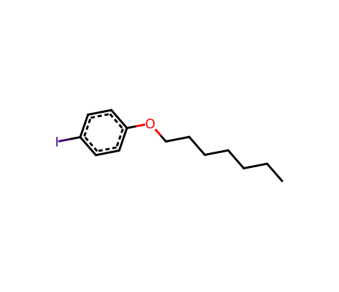 CCCCCCCOc1ccc(I)cc1